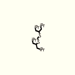 CC(C)CC(CC(C)C)SCSC(CC(C)C)CC(C)C